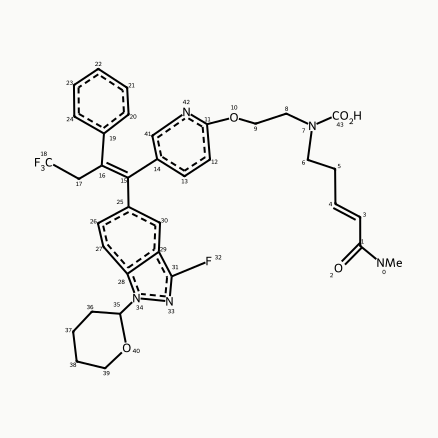 CNC(=O)/C=C/CCN(CCOc1ccc(/C(=C(/CC(F)(F)F)c2ccccc2)c2ccc3c(c2)c(F)nn3C2CCCCO2)cn1)C(=O)O